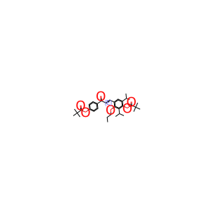 CCCOc1c(/C=C/C(=O)c2ccc(OC(=O)C(C)(C)C)cc2)cc(C(C)C)c(OC(=O)C(C)(C)C)c1C(C)C